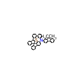 CC1(C)c2ccccc2-c2ccc(N(c3ccccc3)c3ccc4c(c3)C3(c5ccccc5-4)c4ccccc4-c4c3sc3ccccc43)cc21